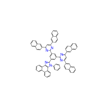 c1ccc(-n2c(-c3cc(-c4nc(-c5ccc6ccccc6c5)cc(-c5ccc6ccccc6c5)n4)cc(-c4nc(-c5ccc6ccccc6c5)cc(-c5ccc6ccccc6c5)n4)c3)nc3c4ccccc4c4ccccc4c32)cc1